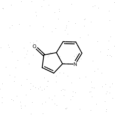 O=C1C=CC2N=CC=CC12